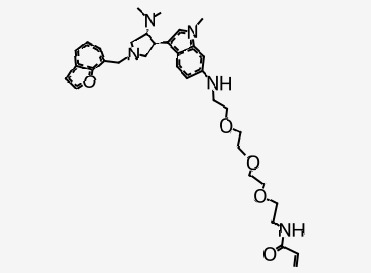 C=CC(=O)NCCOCCOCCOCCNc1ccc2c([C@H]3CN(Cc4cccc5ccoc45)C[C@@H]3N(C)C)cn(C)c2c1